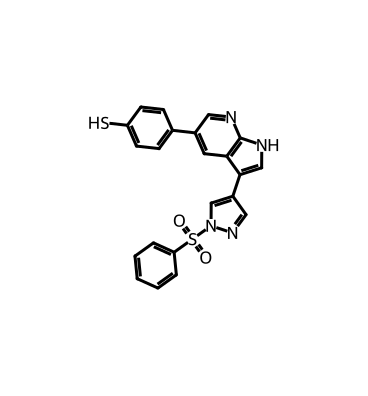 O=S(=O)(c1ccccc1)n1cc(-c2c[nH]c3ncc(-c4ccc(S)cc4)cc23)cn1